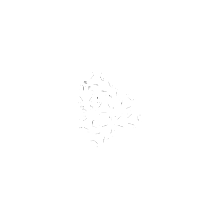 c1ccc(-c2nc3cc4ccccc4c4c3n2-c2cc(-n3c5cc6ccccc6cc5c5cc6ccccc6cc53)cc3c2B4c2c4ccccc4cc4nc(-c5ccccc5)n-3c24)cc1